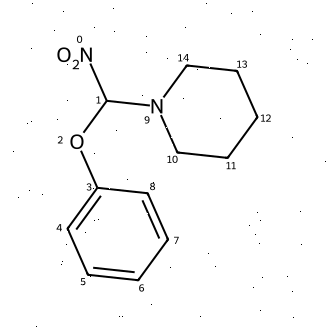 O=[N+]([O-])C(Oc1ccccc1)N1CCCCC1